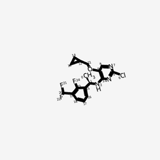 C[C@@H](Nc1nc(Cl)ncc1OCC1CC1)c1cccc(C(F)F)c1F